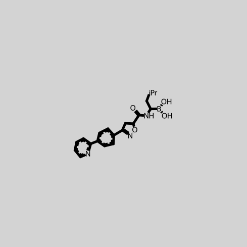 CC(C)CC(NC(=O)C1CC(c2ccc(-c3ccccn3)cc2)=NO1)B(O)O